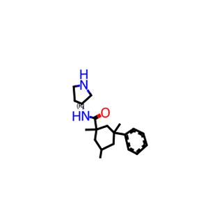 CC1CC(C)(C(=O)N[C@@H]2CCNC2)CC(C)(c2ccccc2)C1